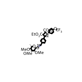 CCOC(=O)C1C(c2ccc(/C=N/O[C@@H]3O[C@@H](C)[C@H](OC)[C@@H](OC)[C@H]3OC)cc2)=NN(c2ccc(OC(F)(F)F)cc2)C1C(=O)OCC